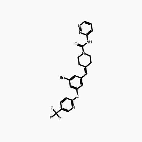 O=C(Nc1cccnn1)N1CCC(=Cc2cc(Br)cc(Oc3ccc(C(F)(F)F)cn3)c2)CC1